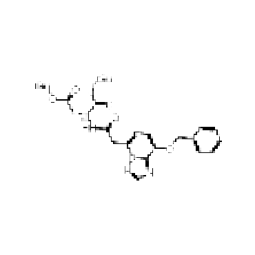 CC(C)(C)OC(=O)C[C@@H](NC(=O)Cc1ccc(OCc2ccccc2)c2ncnn12)C(=O)OC(C)(C)C